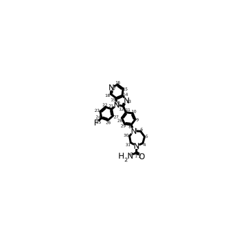 NC(=O)N1CCCN(c2ccc(-c3nc4ccncc4n3-c3ccc(F)cc3)cc2)CC1